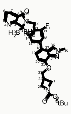 BC1(B)c2ncccc2C(=O)N1Cc1c(F)cc(-c2ccc(OCC3CN(C(=O)OC(C)(C)C)C3)c3nn(C)cc23)cc1F